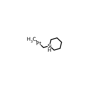 [CH3][Pt][CH2][SiH]1CCCCC1